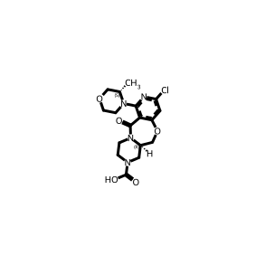 C[C@H]1COCCN1c1nc(Cl)cc2c1C(=O)N1CCN(C(=O)O)C[C@@H]1CO2